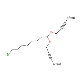 CCCCCC#CCOC(CCCCCCCBr)OCC#CCCCCC